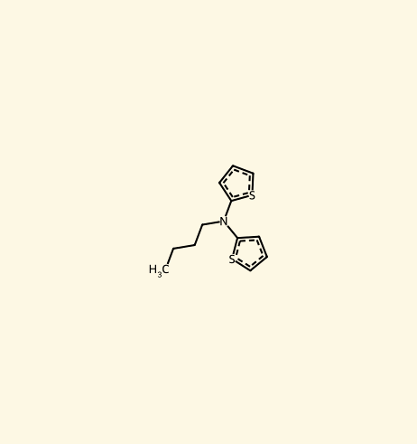 CCCCN(c1cccs1)c1cccs1